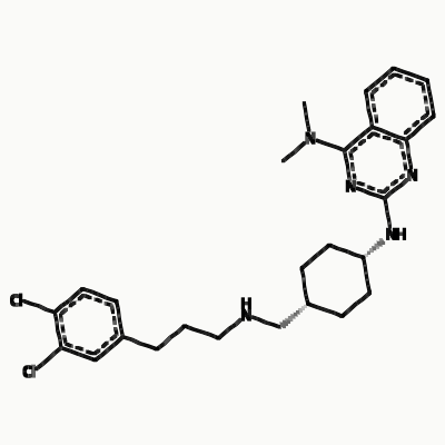 CN(C)c1nc(N[C@H]2CC[C@@H](CNCCCc3ccc(Cl)c(Cl)c3)CC2)nc2ccccc12